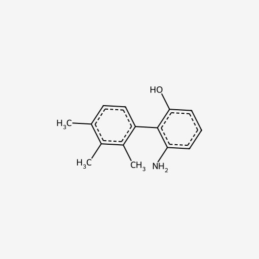 Cc1ccc(-c2c(N)cccc2O)c(C)c1C